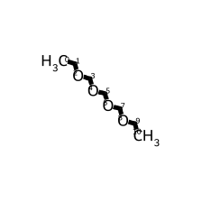 CCOCOCOCOCC